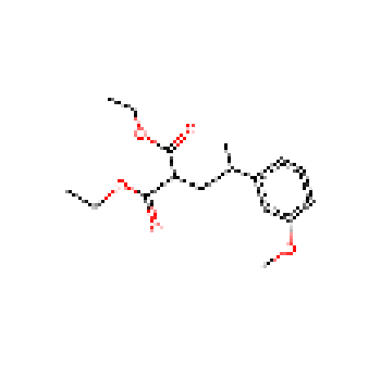 CCOC(=O)C(CC(C)c1cccc(OC)c1)C(=O)OCC